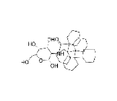 O=C(NC1[C@H](O)OC(CO)[C@H](O)[C@@H]1O)C1(C2(C3(C4(C5CCCCC5)CCCCC4)CCCCC3)CCCCC2)CCCCC1